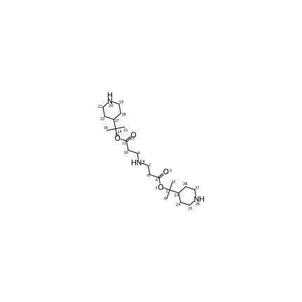 CC(C)(OC(=O)CCNCCC(=O)OC(C)(C)C1CCNCC1)C1CCNCC1